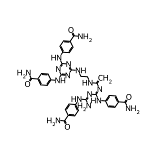 C=C(/N=C(\N=C(/N)Nc1ccc(C(N)=O)cc1)Nc1ccc(C(N)=O)cc1)NCCNc1nc(Nc2ccc(C(N)=O)cc2)nc(Nc2ccc(C(N)=O)cc2)n1